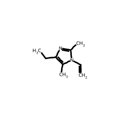 C=Cn1c(C)nc(CC)c1C